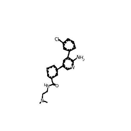 CN(C)CCNC(=O)c1cccc(-c2cnc(N)c(-c3cccc(Cl)c3)c2)c1